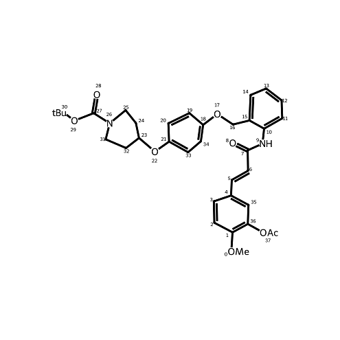 COc1ccc(C=CC(=O)Nc2ccccc2COc2ccc(OC3CCN(C(=O)OC(C)(C)C)CC3)cc2)cc1OC(C)=O